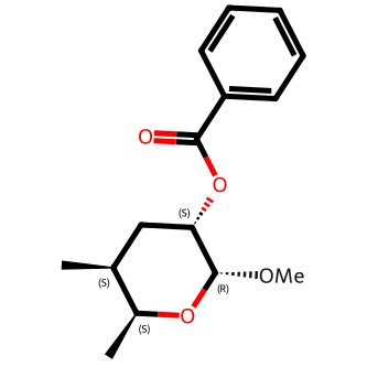 CO[C@@H]1O[C@@H](C)[C@@H](C)C[C@@H]1OC(=O)c1ccccc1